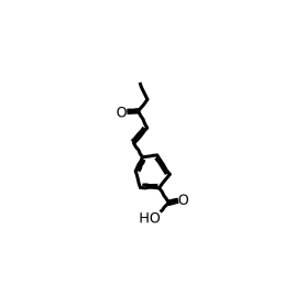 CCC(=O)C=Cc1ccc(C(=O)O)cc1